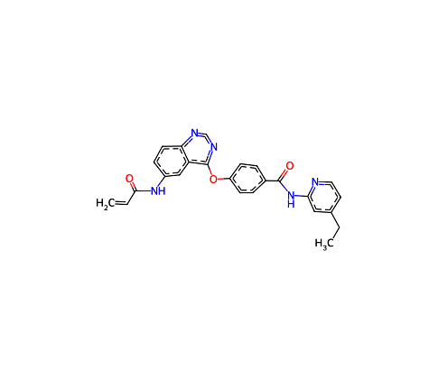 C=CC(=O)Nc1ccc2ncnc(Oc3ccc(C(=O)Nc4cc(CC)ccn4)cc3)c2c1